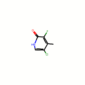 Cc1c(Cl)c[nH]c(=O)c1F